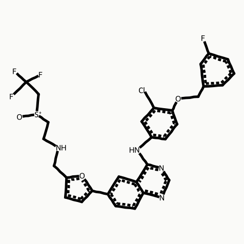 [O-][S+](CCNCc1ccc(-c2ccc3ncnc(Nc4ccc(OCc5cccc(F)c5)c(Cl)c4)c3c2)o1)CC(F)(F)F